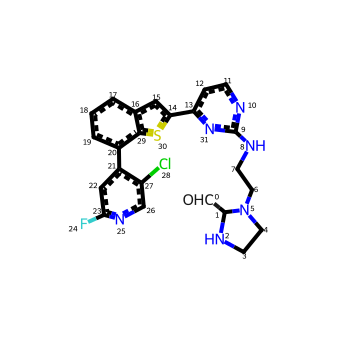 O=CC1NCCN1CCNc1nccc(-c2cc3cccc(-c4cc(F)ncc4Cl)c3s2)n1